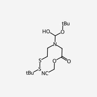 CC(C)(C)OC(O)N(CCSSC(C)(C)C)CC(=O)OCC#N